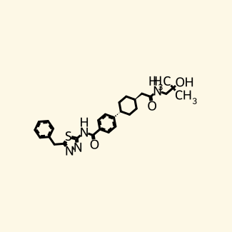 CC(C)(O)CNC(=O)C[C@H]1CC[C@H](c2ccc(C(=O)Nc3nnc(Cc4ccccc4)s3)cc2)CC1